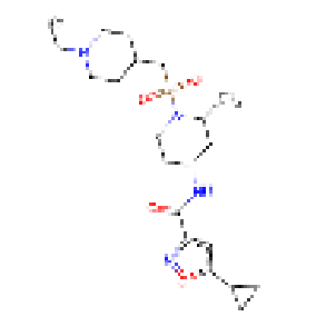 CC(C)CN1CCC(CS(=O)(=O)N2CC[C@@H](NC(=O)c3cc(C4CC4)on3)C[C@H]2C)CC1